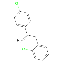 C=C(Cc1ccccc1Cl)c1ccc(Cl)cc1